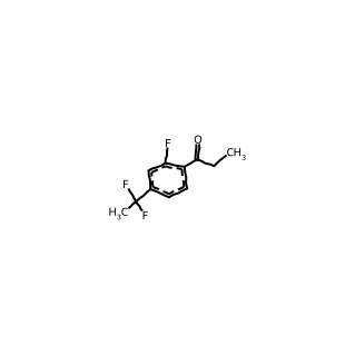 CCC(=O)c1ccc(C(C)(F)F)cc1F